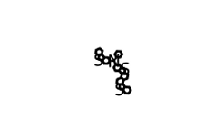 c1ccc(N(c2ccc3c(c2)sc2ccc4c(ccc5sc6ccccc6c54)c23)c2ccc3sc4ccccc4c3c2)cc1